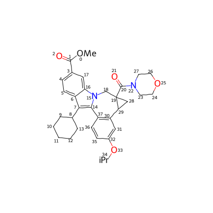 COC(=O)c1ccc2c(C3CCCCC3)c3n(c2c1)CC1(C(=O)N2CCOCC2)CC1c1cc(OC(C)C)ccc1-3